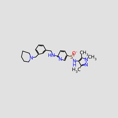 Cc1nn(C)c(C)c1N[S+]([O-])c1ccc(NCc2cccc(CN3CCCCC3)c2)nc1